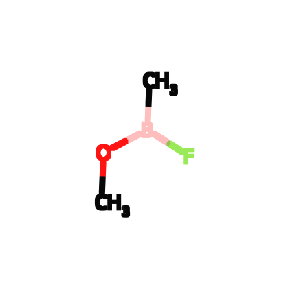 COB(C)F